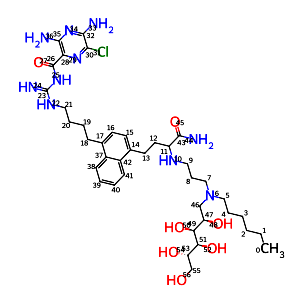 CCCCCCN(CCCNC(CCc1ccc(CCCCNC(=N)NC(=O)c2nc(Cl)c(N)nc2N)c2ccccc12)C(N)=O)C[C@@H](O)[C@H](O)[C@@H](O)[C@@H](O)CO